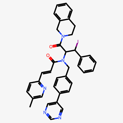 Cc1ccc(C=CC(=O)N(Cc2ccc(-c3cncnc3)cc2)C(C(=O)N2CCc3ccccc3C2)C(I)c2ccccc2)nc1